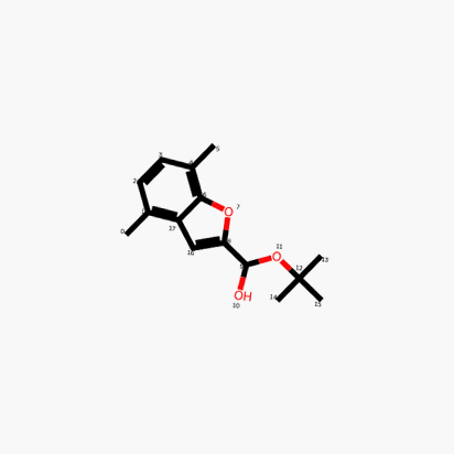 Cc1ccc(C)c2oc(C(O)OC(C)(C)C)cc12